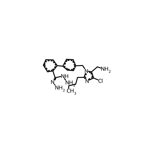 CCCCc1nc(Cl)c(CN)n1Cc1ccc(-c2ccccc2/C(=N/N)NN)cc1